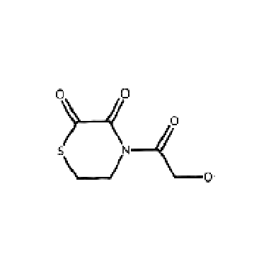 [O]CC(=O)N1CCSC(=O)C1=O